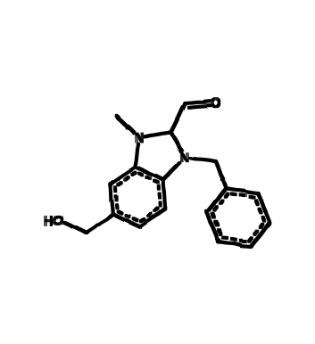 CN1c2cc(CO)ccc2N(Cc2ccccc2)C1C=O